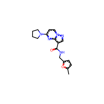 Cc1ccc(CNC(=O)c2cnn3ccc(N4CCCC4)nc23)o1